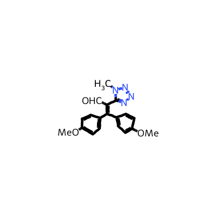 COc1ccc(C(=C(C=O)c2nnnn2C)c2ccc(OC)cc2)cc1